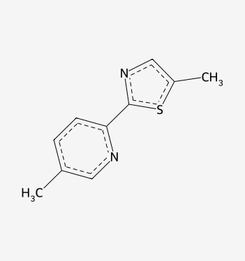 Cc1ccc(-c2ncc(C)s2)nc1